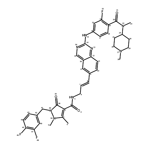 Cc1c(C(=O)NCC=Cc2ccc3nc(Nc4ccc(C(=O)N(C)C5CCN(C)CC5)c(F)c4)ncc3c2)c(=O)n(Cc2ccc(F)c(F)c2)n1C